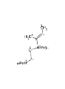 C/C=C(\C)C(=O)OCCCCCC